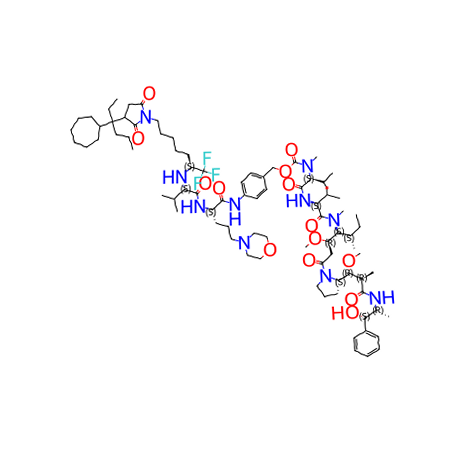 CCCC(CC)(C1CCCCCC1)C1CC(=O)N(CCCCC[C@H](N[C@H](C(=O)N[C@@H](CCCN2CCOCC2)C(=O)Nc2ccc(COC(=O)N(C)[C@H](C(=O)N[C@H](C(=O)N(C)[C@@H]([C@@H](C)CC)[C@@H](CC(=O)N3CCC[C@H]3[C@H](OC)[C@@H](C)C(=O)N[C@H](C)[C@@H](O)c3ccccc3)OC)C(C)C)C(C)C)cc2)C(C)C)C(F)(F)F)C1=O